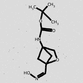 CC(C)(C)OC(=O)NC12COC(/C=N\O)(C1)C2